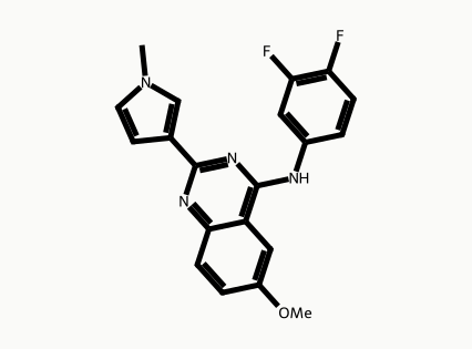 COc1ccc2nc(-c3ccn(C)c3)nc(Nc3ccc(F)c(F)c3)c2c1